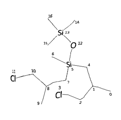 CC(CCl)C[Si](C)(CC(C)CCl)O[Si](C)(C)C